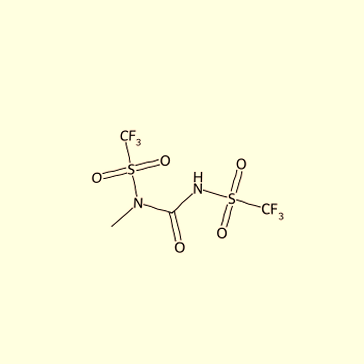 CN(C(=O)NS(=O)(=O)C(F)(F)F)S(=O)(=O)C(F)(F)F